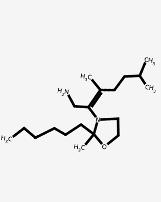 CCCCCCC1(C)OCCN1C(CN)=C(C)CCC(C)C